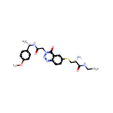 C[C@H](NC(=O)Cn1nnc2ccc(SC[C@H](N)C(=O)NCC(=O)O)cc2c1=O)c1ccc(OC(F)(F)F)cc1